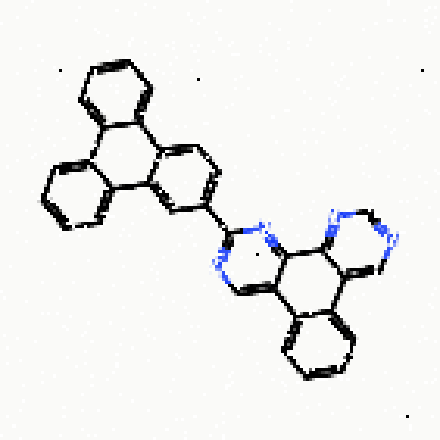 c1ccc2c(c1)c1ccccc1c1cc(-c3ncc4c5ccccc5c5cncnc5c4n3)ccc21